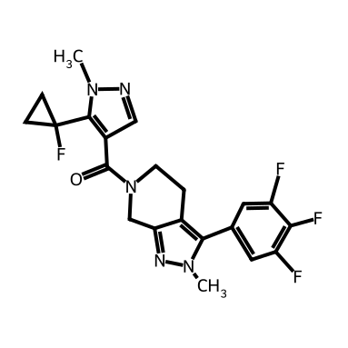 Cn1nc2c(c1-c1cc(F)c(F)c(F)c1)CCN(C(=O)c1cnn(C)c1C1(F)CC1)C2